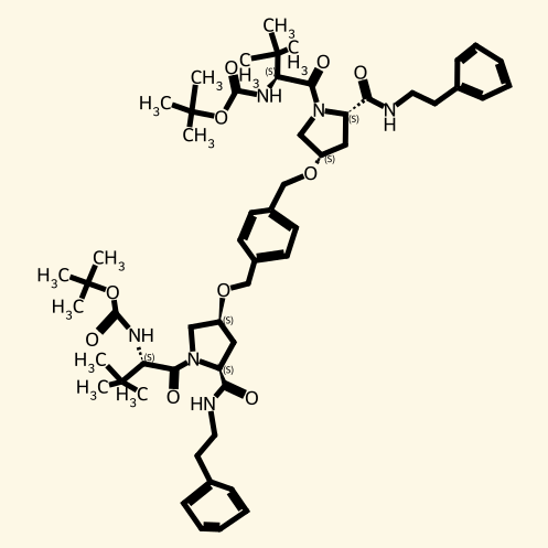 CC(C)(C)OC(=O)N[C@H](C(=O)N1C[C@@H](OCc2ccc(CO[C@H]3C[C@@H](C(=O)NCCc4ccccc4)N(C(=O)[C@@H](NC(=O)OC(C)(C)C)C(C)(C)C)C3)cc2)C[C@H]1C(=O)NCCc1ccccc1)C(C)(C)C